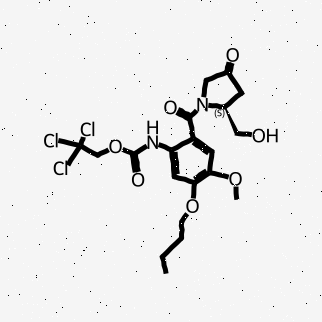 CCCCOc1cc(NC(=O)OCC(Cl)(Cl)Cl)c(C(=O)N2CC(=O)C[C@H]2CO)cc1OC